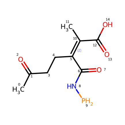 CC(=O)CC/C(C(=O)NP)=C(\C)C(=O)O